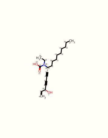 C=C[C@H](O)C#CC#C[C@@H](CCCCCCCCC)N(CC)C(=O)O